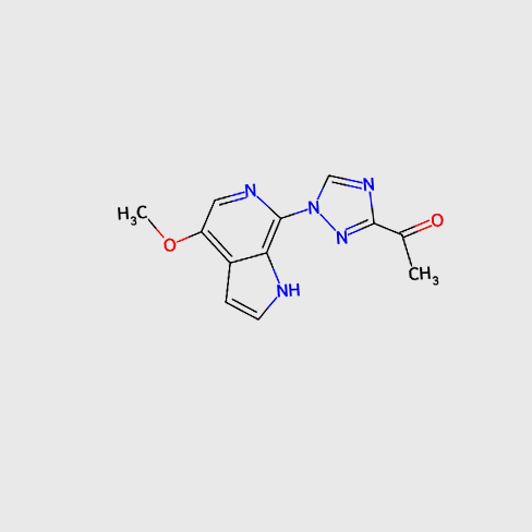 COc1cnc(-n2cnc(C(C)=O)n2)c2[nH]ccc12